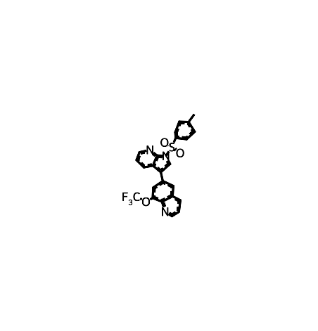 Cc1ccc(S(=O)(=O)n2cc(-c3cc(OC(F)(F)F)c4ncccc4c3)c3cccnc32)cc1